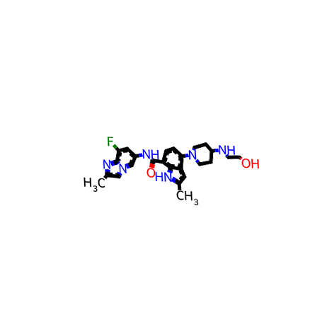 Cc1cn2cc(NC(=O)c3ccc(N4CCC(NCCO)CC4)c4cc(C)[nH]c34)cc(F)c2n1